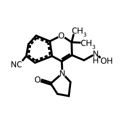 CC1(C)Oc2ccc(C#N)cc2C(N2CCCC2=O)=C1CNO